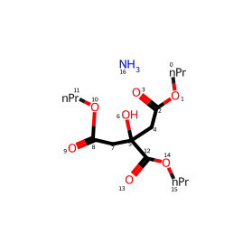 CCCOC(=O)CC(O)(CC(=O)OCCC)C(=O)OCCC.N